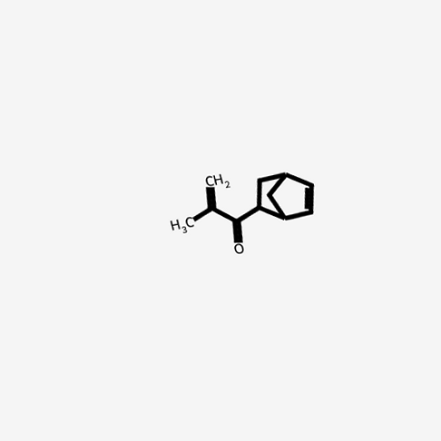 C=C(C)C(=O)C1CC2C=CC1C2